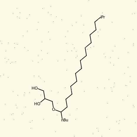 CCCCC(CCCCCCCCCCCCCCC(C)C)OCC(O)CO